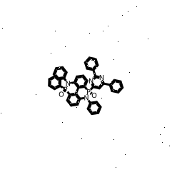 O=P1(c2ccccc2)c2cccc3c2-c2c(cccc2P(=O)(c2cc(-c4ccccc4)nc(-c4ccccc4)n2)N3c2ccccc2)N1c1ccccc1